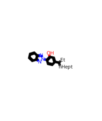 CCCCCCCC(CC)c1ccc(-n2nc3ccccc3n2)c(O)c1